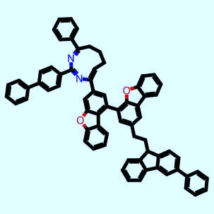 C1=C(c2cc(-c3cc(CCC4c5ccccc5-c5cc(-c6ccccc6)ccc54)cc4c3oc3ccccc34)c3c(c2)oc2ccccc23)/N=C(c2ccc(-c3ccccc3)cc2)\N=C(\c2ccccc2)CCC/1